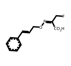 O=C(O)/C(CF)=N\OC/C=C/c1ccccc1